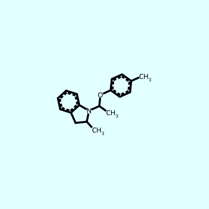 Cc1ccc(OC(C)N2c3ccccc3CC2C)cc1